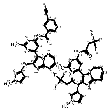 Cc1nc(NC(=O)CC(F)(F)F)cc(-c2c(N(C(=O)CC(F)(F)F)c3ccn(C)n3)nc3ccccn23)n1.Cc1nc(NC(=O)c2cccc(C#N)c2)cc(-c2c(Nc3ccn(C)n3)nc3cccnn23)n1